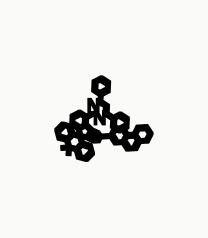 CC1(C)c2ccccc2C2(c3ccc(-c4ccc5c6c(ccc5c4)CCC=C6)cc3-c3c(-c4nc(-c5ccccc5)cc(-c5ccccc5)n4)cccc32)c2ccccc21